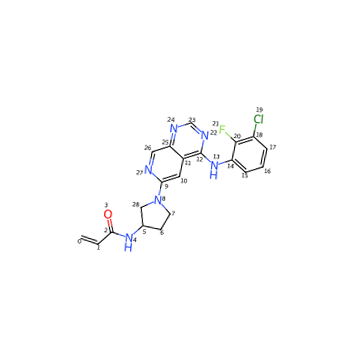 C=CC(=O)NC1CCN(c2cc3c(Nc4cccc(Cl)c4F)ncnc3cn2)C1